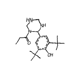 CCC(=O)N1CNCNC1c1cc(C(C)(C)C)c(O)c(C(C)(C)C)c1